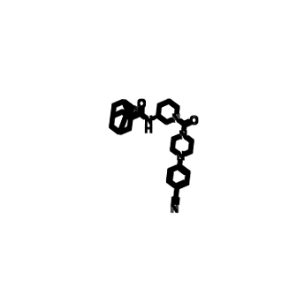 N#Cc1ccc(N2CCN(C(=O)N3CCC[C@H](NC(=O)C45CC6CC(C4)C(O)C(C6)C5)C3)CC2)cc1